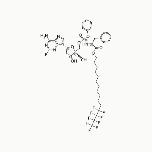 C#C[C@]1(CO[P@](=O)(N[C@@H](Cc2ccccc2)C(=O)OCCCCCCCCCCCC(F)(F)C(F)(F)C(F)(F)C(F)(F)F)Oc2ccccc2)O[C@@H](n2cnc3c(N)nc(F)nc32)C[C@@H]1O